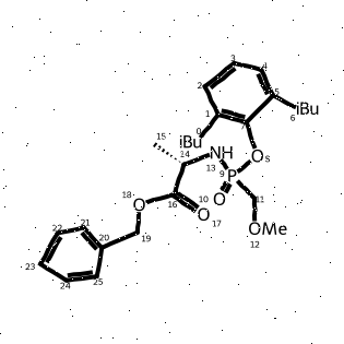 CCC(C)c1cccc(C(C)CC)c1OP(=O)(COC)N[C@@H](C)C(=O)OCc1ccccc1